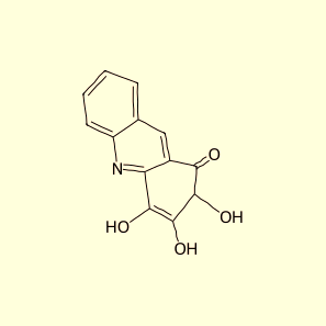 O=C1c2cc3ccccc3nc2C(O)=C(O)C1O